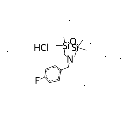 C[Si]1(C)CN(Cc2ccc(F)cc2)C[Si](C)(C)O1.Cl